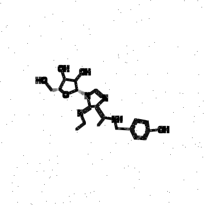 CC/N=C1\C(=C(/C)NCc2ccc(O)cc2)N=CN1[C@@H]1O[C@H](CO)C(O)C1O